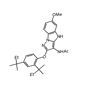 CCC(C)(C)c1ccc(Oc2nn3c([nH]c4cc(OC)ccc43)c2NC(C)=O)c(C(C)(C)CC)c1